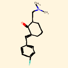 CN(C)CC1CCC/C(=C\c2ccc(F)cc2)C1=O